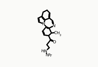 CCCNCCC(=O)C1C=CC2=C(N=CC3=CCCc4ccn2c43)C1C